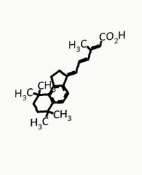 C/C(C=CC=C1CCc2c1ccc1c2C(C)(C)CCC1(C)C)=C\C(=O)O